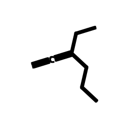 C=C=C(CC)CCC